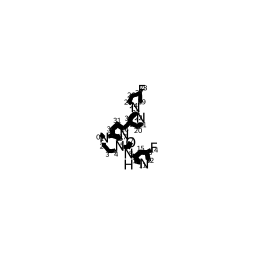 CN1CCCN(C(=O)Nc2cncc(F)c2)c2nc(-c3ccnc(N4CC[C@H](F)C4)c3)ccc21